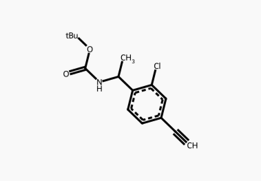 C#Cc1ccc(C(C)NC(=O)OC(C)(C)C)c(Cl)c1